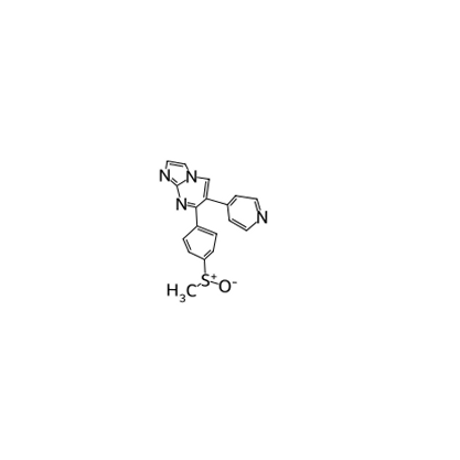 C[S+]([O-])c1ccc(-c2nc3nccn3cc2-c2ccncc2)cc1